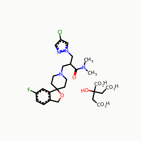 CN(C)C(=O)C(CN1CCC2(CC1)OCc1ccc(F)cc12)Cn1cc(Cl)cn1.O=C(O)CC(O)(CC(=O)O)C(=O)O